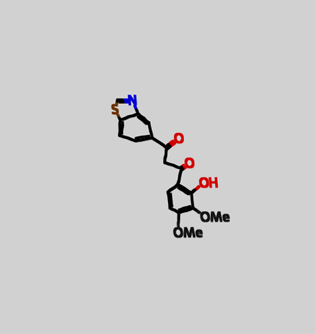 COc1ccc(C(=O)CC(=O)c2ccc3scnc3c2)c(O)c1OC